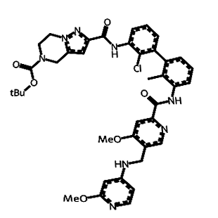 COc1cc(NCc2cnc(C(=O)Nc3cccc(-c4cccc(NC(=O)c5cc6n(n5)CCN(C(=O)OC(C)(C)C)C6)c4Cl)c3C)cc2OC)ccn1